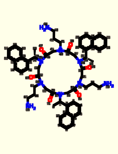 CC(c1cccc2ccccc12)N1CC(=O)N(CCCN)CC(=O)N([C@@H](C)c2cccc3ccccc23)CC(=O)N(CCCN)CC(=O)N([C@@H](C)c2cccc3ccccc23)CC(=O)N(CCCN)CC1=O